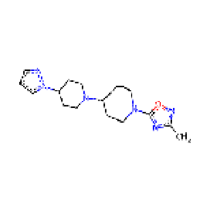 Cc1noc(N2CCC(N3CCC(n4cccn4)CC3)CC2)n1